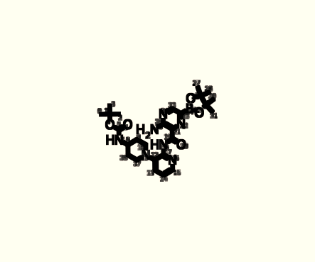 CC(C)(C)OC(=O)NC1CCN(c2cccnc2NC(=O)c2nc(B3OC(C)(C)C(C)(C)O3)cnc2N)CC1